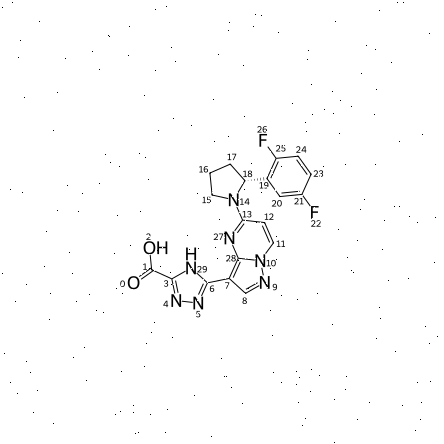 O=C(O)c1nnc(-c2cnn3ccc(N4CCC[C@@H]4c4cc(F)ccc4F)nc23)[nH]1